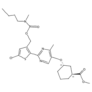 CCCCN(C)C(=O)OCc1cc(Cl)sc1-c1ncc(O[C@H]2CCC[C@H](C(=O)OC)C2)c(C)n1